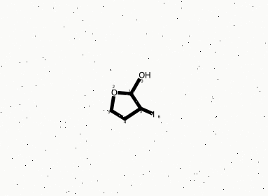 OC1OCCC1I